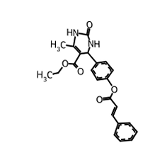 CCOC(=O)C1=C(C)NC(=O)NC1c1ccc(OC(=O)/C=C/c2ccccc2)cc1